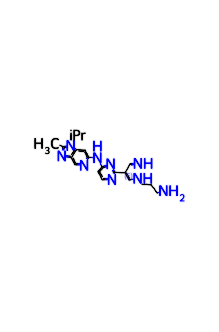 Cc1nc2cnc(Nc3ccnc(/C(C=N)=C/NCCCN)n3)cc2n1C(C)C